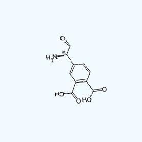 N[C@@H](C=O)c1ccc(C(=O)O)c(C(=O)O)c1